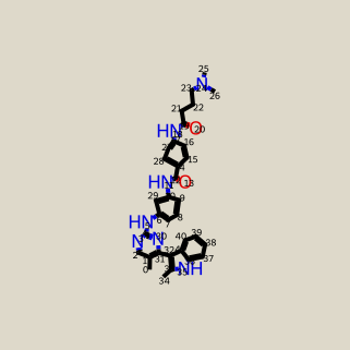 Cc1cnc(Nc2cccc(NC(=O)c3ccc(NC(=O)CCCN(C)C)cc3)c2)nc1-c1c(C)[nH]c2ccccc12